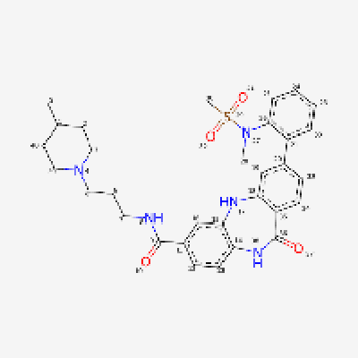 CC1CCN(CCCNC(=O)c2ccc3c(c2)Nc2cc(-c4ccccc4N(C)S(C)(=O)=O)ccc2C(=O)N3)CC1